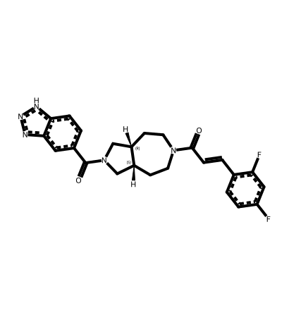 O=C(C=Cc1ccc(F)cc1F)N1CC[C@@H]2CN(C(=O)c3ccc4[nH]nnc4c3)C[C@@H]2CC1